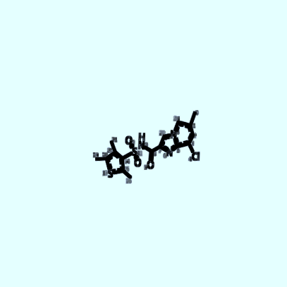 Cc1cc(Cl)c2nc(C(=O)NS(=O)(=O)c3c(C)sc(C)c3C)cn2c1